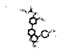 CCOc1cc(-c2ccc3nc(N)nc(N4CCN(C)CC4)c3c2)ccc1NC(=O)OC(C)(C)C